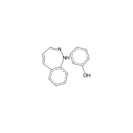 C1=Cc2ccccc2NN=C1.Oc1ccccc1